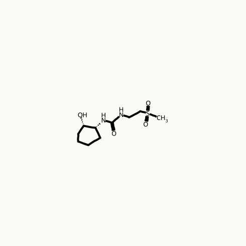 CS(=O)(=O)CCNC(=O)N[C@@H]1CCCC[C@@H]1O